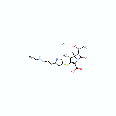 CCNCCC[C@@H]1C[C@H](SC2=C(C(=O)O)N3C(=O)[C@H]([C@@H](C)O)[C@H]3[C@H]2C)CN1.Cl